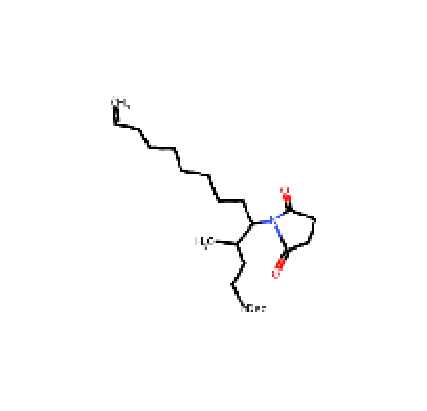 C=CCCCCCCCC(C(C)CCCCCCCCCCCC)N1C(=O)CCC1=O